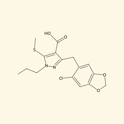 CCCn1nc(Cc2cc3c(cc2Cl)OCO3)c(C(=O)O)c1SC